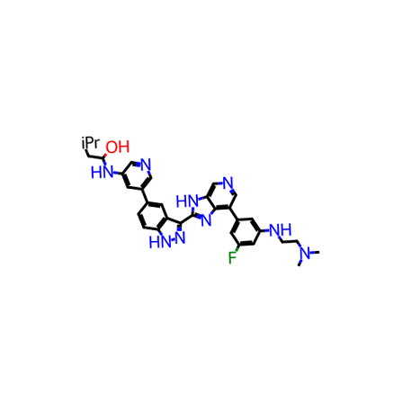 CC(C)CC(O)Nc1cncc(-c2ccc3[nH]nc(-c4nc5c(-c6cc(F)cc(NCCN(C)C)c6)cncc5[nH]4)c3c2)c1